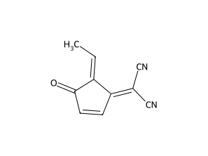 C/C=C1\C(=O)C=CC1=C(C#N)C#N